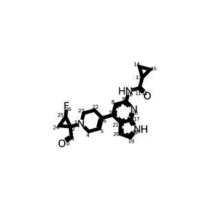 O=CC1(N2CC=C(c3cc(NC(=O)C4CC4)nc4[nH]ccc34)CC2)CC1F